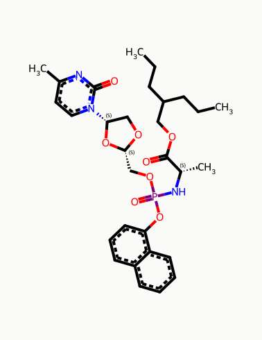 CCCC(CCC)COC(=O)[C@H](C)NP(=O)(OC[C@H]1OC[C@@H](n2ccc(C)nc2=O)O1)Oc1cccc2ccccc12